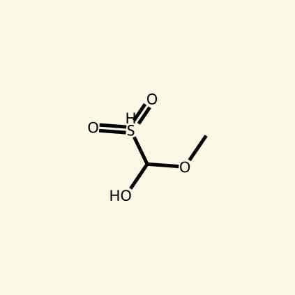 COC(O)[SH](=O)=O